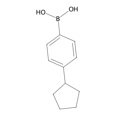 OB(O)c1ccc(C2CCCC2)cc1